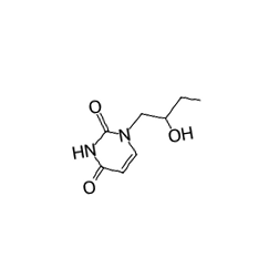 CCC(O)Cn1ccc(=O)[nH]c1=O